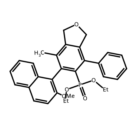 CCOP(=O)(OCC)c1c(-c2c(OC)ccc3ccccc23)c(C)c2c(c1-c1ccccc1)COC2